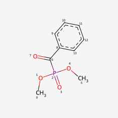 COP(=O)(OC)C(=O)c1ccccc1